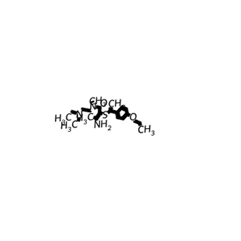 C=C(S/C(C(=O)N(C)CCN(CC)CC)=C(/C)N)c1ccc(OCCC)cc1